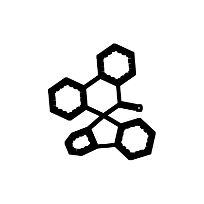 O=C1c2ccccc2-c2ccccc2C12c1ccccc1-c1ccccc12